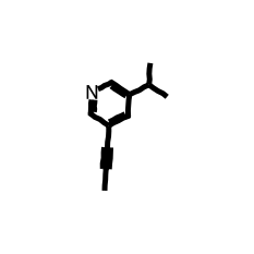 CC#Cc1cncc(C(C)C)c1